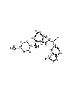 CN(c1ccc2cn[nH]c2c1)c1nc2cccc(N[C@H]3CC[C@@H](O)CC3)n2n1